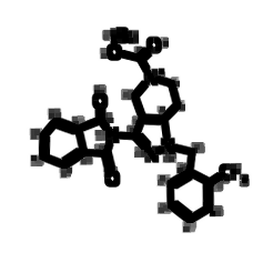 CC(C)(C)OC(=O)N1CCc2c(c(N3C(=O)c4ccccc4C3=O)nn2Cc2ccccc2C(F)(F)F)C1